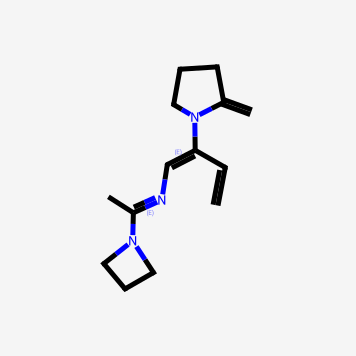 C=C/C(=C\N=C(/C)N1CCC1)N1CCCC1=C